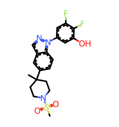 CC1(c2ccc3c(cnn3-c3cc(O)c(F)c(F)c3)c2)CCN(S(C)(=O)=O)CC1